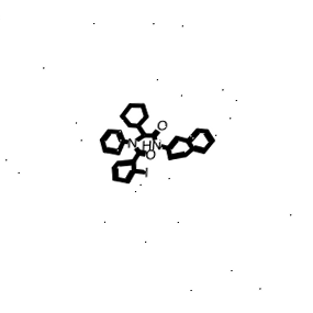 O=C(Nc1ccc2ccccc2c1)C(C1CCCCC1)N(C(=O)c1ccccc1I)c1ccccc1